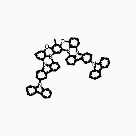 Cc1c2c(cc3c1Oc1cccc4c1B3c1cccc3c5cc(-n6c7ccccc7c7ccccc76)ccc5n-4c13)B1c3c(cccc3-n3c4ccc(-n5c6ccccc6c6ccccc65)cc4c4cccc1c43)O2